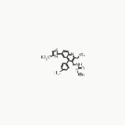 Cc1ccc(-c2c(CNC(=O)OC(C)(C)C)c(CC(C)(C)C)nc3ccc(-c4nc(C(=O)O)cs4)cc23)cc1